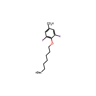 CCCCCCCCCCCCCCCCOc1c(I)cc(C(=O)O)cc1I